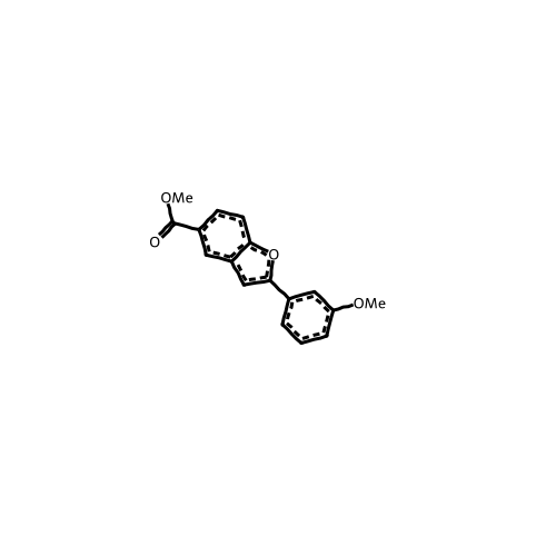 COC(=O)c1ccc2oc(-c3cccc(OC)c3)cc2c1